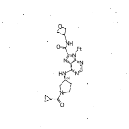 CCn1c(C(=O)NC2COC2)nc2c(N[C@H]3CCN(C(=O)C4CC4)C3)ncnc21